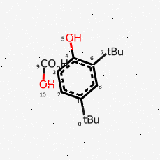 CC(C)(C)c1ccc(O)c(C(C)(C)C)c1.O=C(O)O